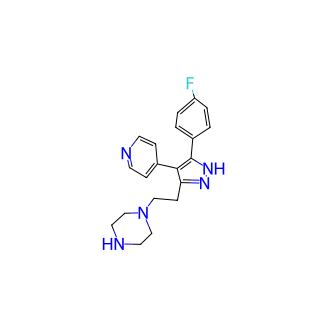 Fc1ccc(-c2[nH]nc(CCN3CCNCC3)c2-c2ccncc2)cc1